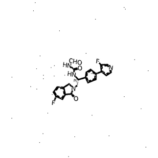 O=CNC(=O)N[C@@H](CN1Cc2ccc(F)cc2C1=O)c1ccc(-c2ccncc2F)cc1